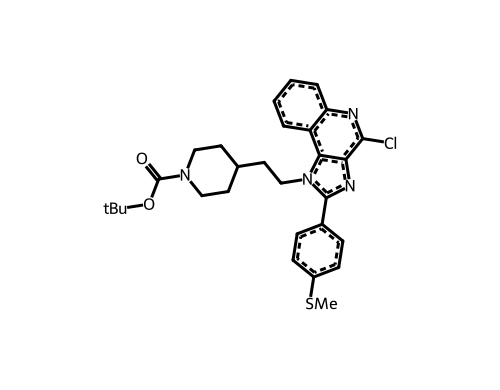 CSc1ccc(-c2nc3c(Cl)nc4ccccc4c3n2CCC2CCN(C(=O)OC(C)(C)C)CC2)cc1